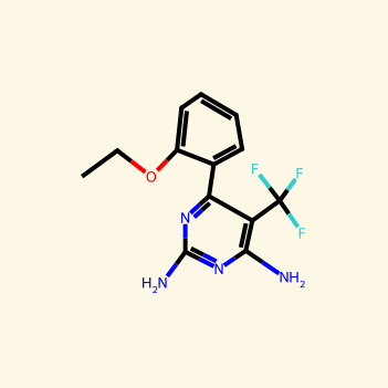 CCOc1ccccc1-c1nc(N)nc(N)c1C(F)(F)F